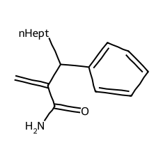 C=C(C(N)=O)C(CCCCCCC)c1ccccc1